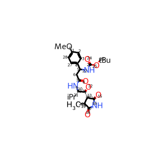 COc1ccc(C(CC(=O)N[C@H](C(=O)[C@@H]2C(=O)NC(=O)[C@H]2C)C(C)C)NC(=O)OC(C)(C)C)cc1